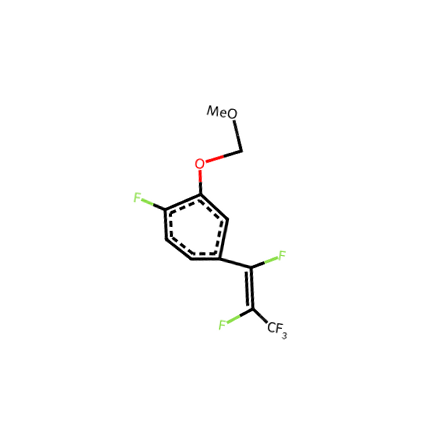 COCOc1cc(C(F)=C(F)C(F)(F)F)ccc1F